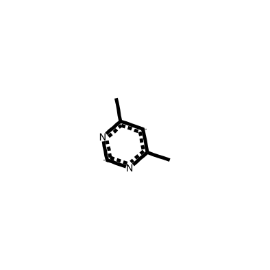 Cc1[c]c(C)n[c]n1